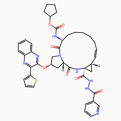 O=C(N[C@H]1CCCCC/C=C\[C@@H]2C[C@@]2(C(=O)NNC(=O)c2cccnc2)NC(=O)[C@@H]2C[C@@H](Oc3nc4ccccc4nc3-c3cccs3)CN2C1=O)OC1CCCC1